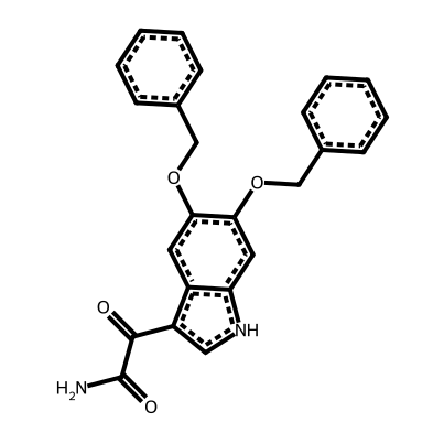 NC(=O)C(=O)c1c[nH]c2cc(OCc3ccccc3)c(OCc3ccccc3)cc12